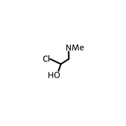 CNCC(O)Cl